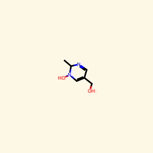 CC1N=CC(CO)=CN1O